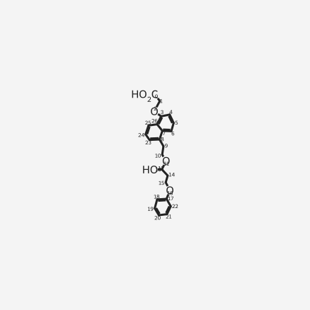 O=C(O)COc1cccc2c(CCOC(O)CCOc3ccccc3)cccc12